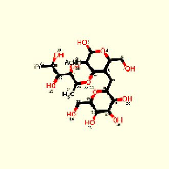 CC(=O)NC1C(O)OC(CO)C(CC2OC(CO)C(O)C(O)C2O)C1OC(C)C(O)C(O)C(O)C(C)C